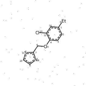 CCc1ccc(OCc2nccs2)c(Cl)c1